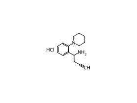 C#CCC(N)c1ccccc1N1CCCCC1.Cl